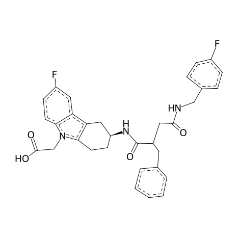 O=C(O)Cn1c2c(c3cc(F)ccc31)C[C@@H](NC(=O)C(CC(=O)NCc1ccc(F)cc1)Cc1ccccc1)CC2